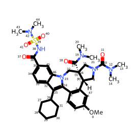 COc1ccc2c(c1)[C@H]1CN(C(=O)N(C)C)C[C@]1(C(=O)N(C)C)Cn1c-2c(C2CCCCC2)c2ccc(C(=O)NS(=O)(=O)N(C)C)cc21